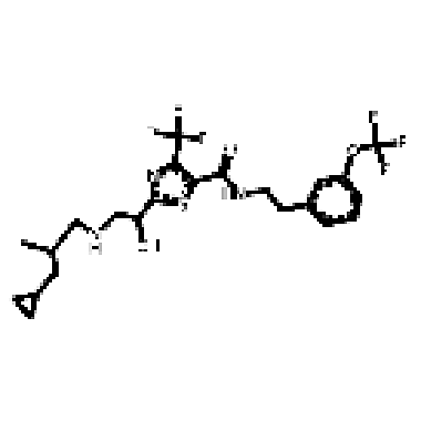 CC(CNCC(O)c1nc(C(F)(F)F)c(C(=O)NCCc2cccc(OC(F)(F)F)c2)s1)CC1CC1